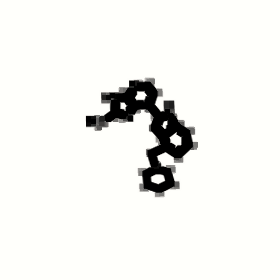 Cc1nc2c(-c3cc4c(CN5CCCCC5)cccc4[nH]3)ccnc2[nH]1